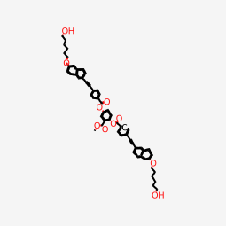 COC(=O)c1cc(OC(=O)c2ccc(C#Cc3ccc4cc(OCCCCCCO)ccc4c3)cc2)ccc1OC(=O)c1ccc(C#Cc2ccc3cc(OCCCCCCO)ccc3c2)cc1